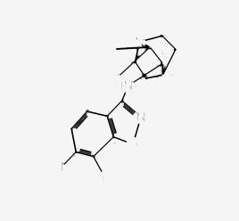 CC1(C)[C@H](Nc2noc3c(F)c(Cl)ccc23)C2CCN1CC2